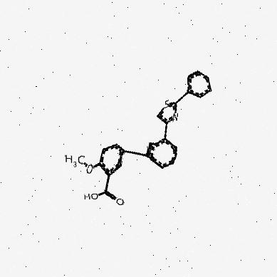 COc1ccc(-c2cccc(-c3csc(-c4ccccc4)n3)c2)cc1C(=O)O